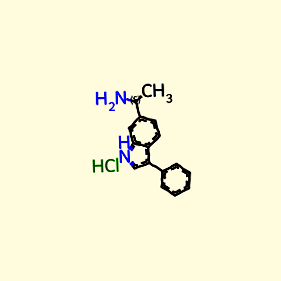 C[C@H](N)c1ccc2c(-c3ccccc3)c[nH]c2c1.Cl